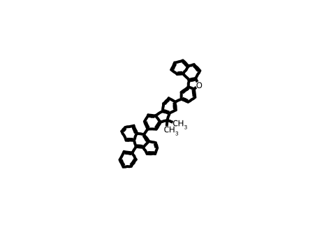 CC1(C)c2cc(-c3ccc4oc5ccc6ccccc6c5c4c3)ccc2-c2ccc(-c3c4ccccc4c(-c4ccccc4)c4ccccc34)cc21